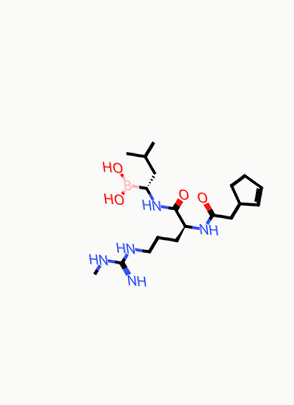 CNC(=N)NCCC[C@H](NC(=O)CC1C=CCC1)C(=O)N[C@@H](CC(C)C)B(O)O